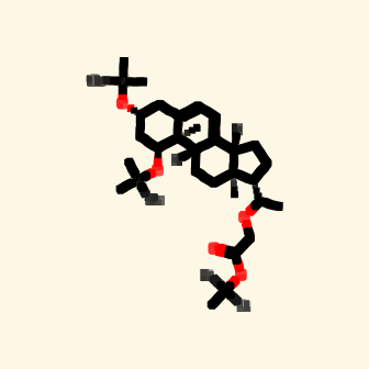 CCC(C)(CC)OC(=O)COC(C)[C@H]1CC[C@H]2C3=CC=C4C[C@@H](O[Si](C)(C)C(C)(C)C)C[C@H](O[Si](C)(C)C(C)(C)C)[C@]4(C)[C@H]3CC[C@]12C